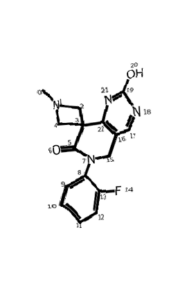 CN1CC2(C1)C(=O)N(c1ccccc1F)Cc1cnc(O)nc12